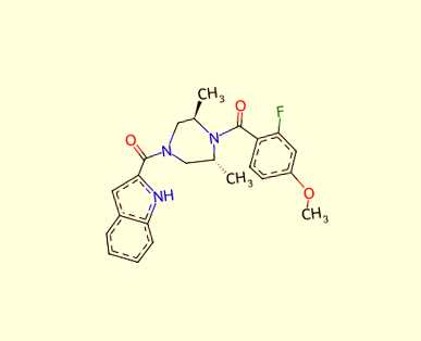 COc1ccc(C(=O)N2[C@H](C)CN(C(=O)c3cc4ccccc4[nH]3)C[C@H]2C)c(F)c1